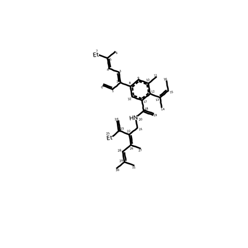 C=C/C(=C\C=C(/C)CC)c1cc(C)c(/C(C)=C\C)c(C(=C)NC/C(C(=C)CC)=C(\C)C=C(C)C)c1